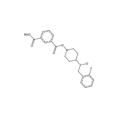 COC(=O)c1cccc(C(=O)ON2CCC([S+]([O-])Cc3ccccc3F)CC2)c1